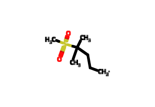 [CH2]CCC(C)(C)S(C)(=O)=O